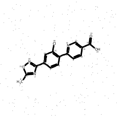 Cc1nc(-c2ccc(-c3ccc(C(=O)O)cn3)c(Cl)c2)no1